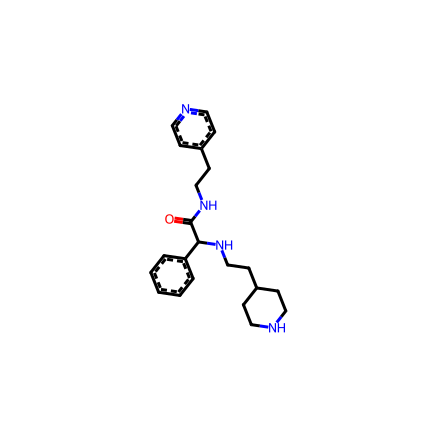 O=C(NCCc1ccncc1)C(NCCC1CCNCC1)c1ccccc1